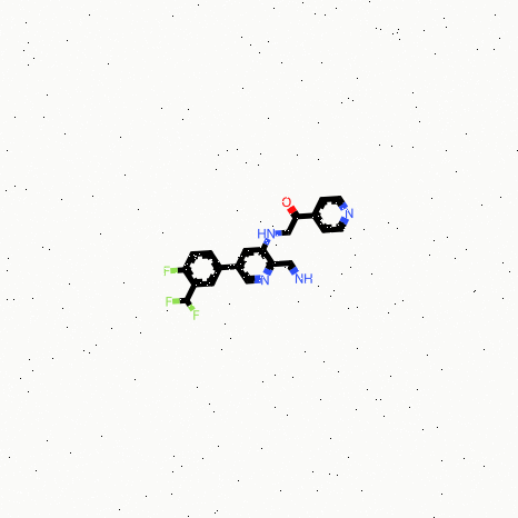 N=Cc1ncc(-c2ccc(F)c(C(F)F)c2)cc1NCC(=O)c1ccncc1